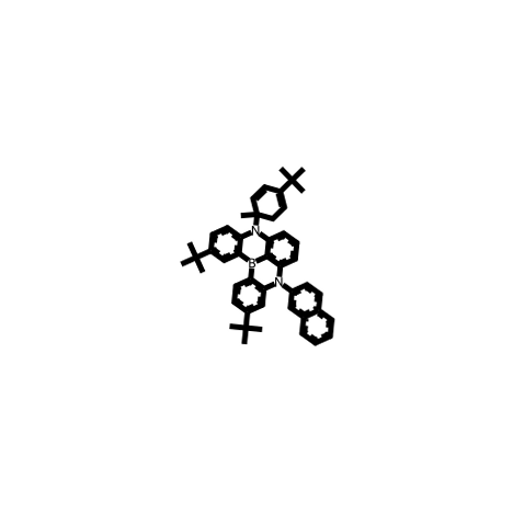 CC(C)(C)C1=CCC(C)(N2c3ccc(C(C)(C)C)cc3B3c4ccc(C(C)(C)C)cc4N(c4ccc5ccccc5c4)c4cccc2c43)C=C1